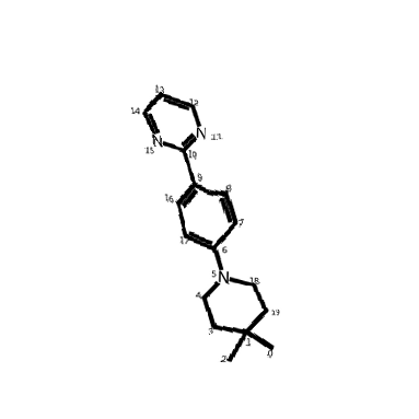 CC1(C)CCN(c2ccc(-c3ncccn3)cc2)CC1